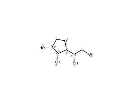 OC[C@H](O)[C@@H]1O[CH][C@@H](O)[C@H]1O